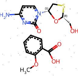 COc1ccccc1C(=O)O.Nc1ccn([C@@H]2CS[C@H](CO)O2)c(=O)n1